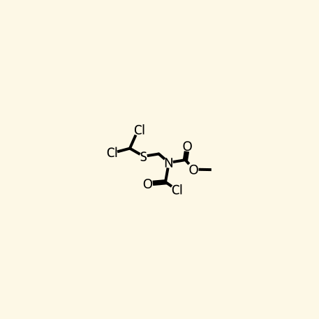 COC(=O)N(CSC(Cl)Cl)C(=O)Cl